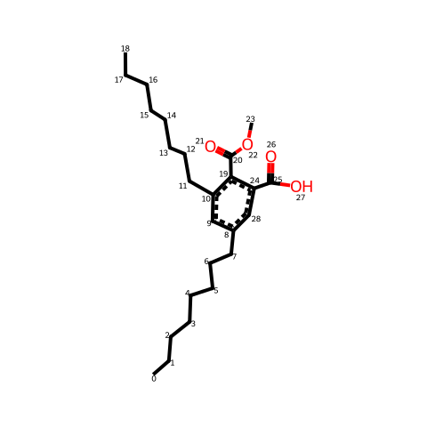 CCCCCCCCc1cc(CCCCCCCC)c(C(=O)OC)c(C(=O)O)c1